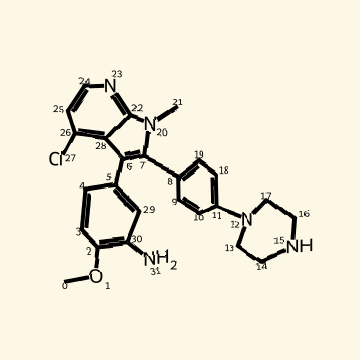 COc1ccc(-c2c(-c3ccc(N4CCNCC4)cc3)n(C)c3nccc(Cl)c23)cc1N